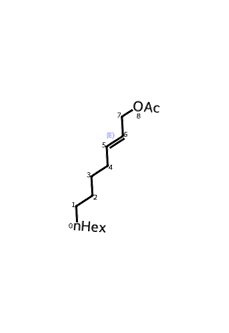 CCCCCCCCCC/C=C/COC(C)=O